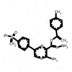 C=C(O/C(=N\N)c1nc(-c2ccc(S(=C)(=O)C(C)C)cc2)cnc1N)c1ccc(C)cc1